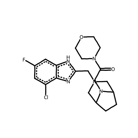 O=C(CN1C2CCC1CN(Cc1nc3c(Cl)cc(F)cc3[nH]1)C2)N1CCOCC1